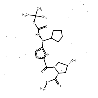 COC(=O)[C@@H]1C[C@@H](O)CN1C(=O)c1ccc([C@@H](NC(=O)OC(C)(C)C)C2CCCC2)[nH]1